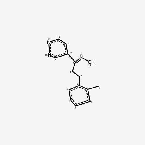 Cc1ccccc1[CH]CC(=NO)c1ccnnc1